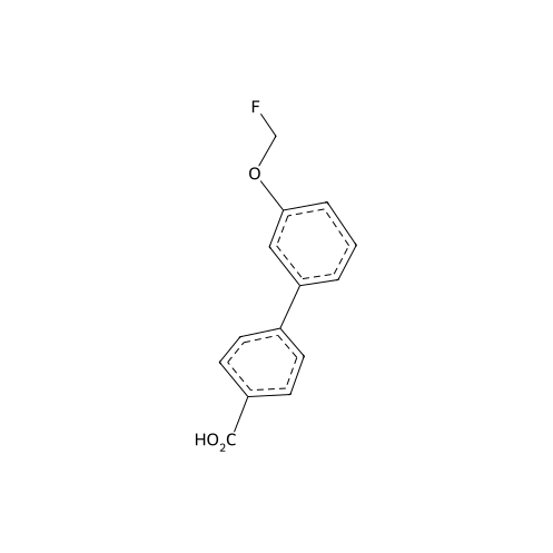 O=C(O)c1ccc(-c2cccc(OCF)c2)cc1